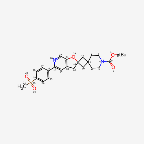 CC(C)(C)OC(=O)N1CCC2(CC1)CC1(Cc3cc(-c4ccc(S(C)(=O)=O)cc4)ncc3O1)C2